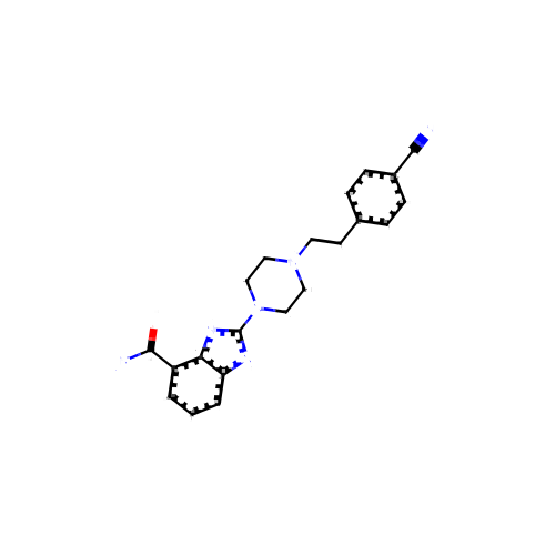 N#Cc1ccc(CCN2CCN(c3nc4c(C(N)=O)cccc4[nH]3)CC2)cc1